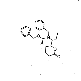 CC[C@H]([C@@H]1CCC(C)C(=O)O1)N(Cc1ccccc1)C(=O)OCc1ccccc1